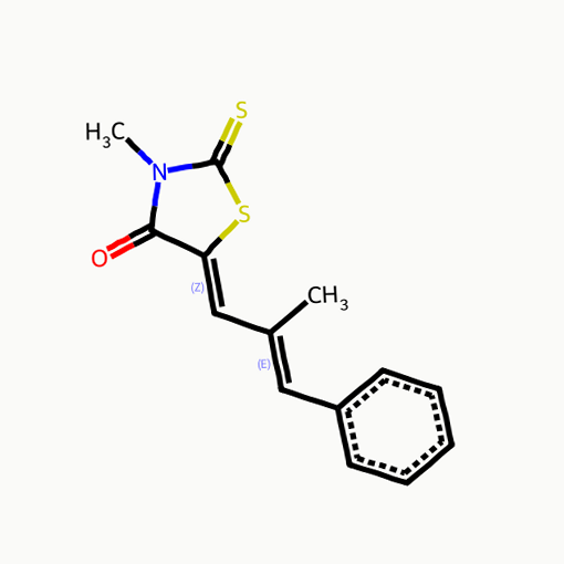 CC(/C=C1\SC(=S)N(C)C1=O)=C\c1ccccc1